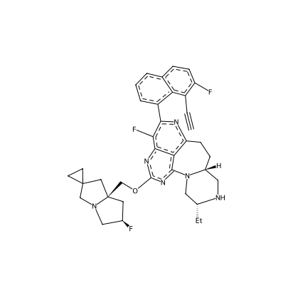 C#Cc1c(F)ccc2cccc(-c3nc4c5c(nc(OC[C@@]67C[C@@H](F)CN6CC6(CC6)C7)nc5c3F)N3C[C@@H](CC)NC[C@H]3CC4)c12